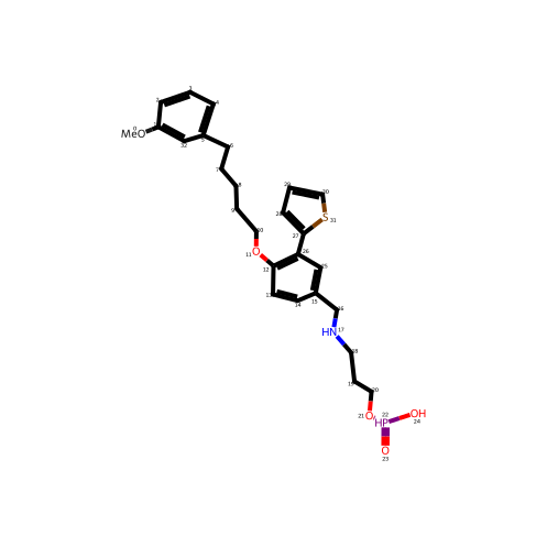 COc1cccc(CCCCCOc2ccc(CNCCCO[PH](=O)O)cc2-c2cccs2)c1